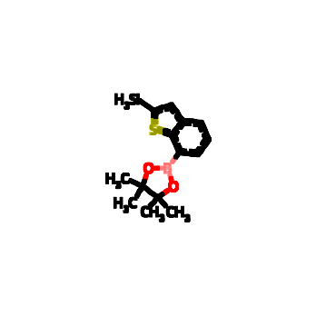 CC1(C)OB(c2cccc3cc([SiH3])sc23)OC1(C)C